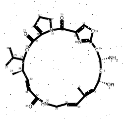 CC1=C\[C@@H](O)C[C@@H](N)Cc2nc(co2)C(=O)N2CCC=C2C(=O)OC(C(C)C)[C@H](C)/C=C/C(=O)NC\C=C\1